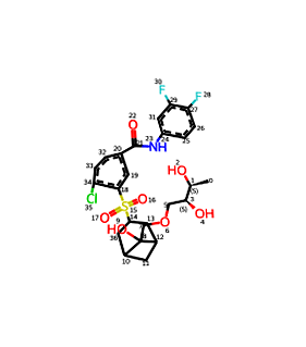 C[C@H](O)[C@@H](O)COCC1(O)C2CC1CC(S(=O)(=O)c1cc(C(=O)Nc3ccc(F)c(F)c3)ccc1Cl)C2